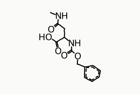 CNC(=O)CC(NC(=O)OCc1ccccc1)C(=O)O